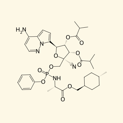 CC(C)C(=O)O[C@H]1[C@H](c2ccc3c(N)ccnn23)O[C@](C#N)(COP(=O)(N[C@@H](C)C(=O)OC[C@H]2CC[C@H](C)CC2)Oc2ccccc2)[C@H]1OC(=O)C(C)C